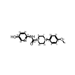 COc1ccc(N2CCN(C(=O)Nc3ccc(O)cn3)CC2)cc1